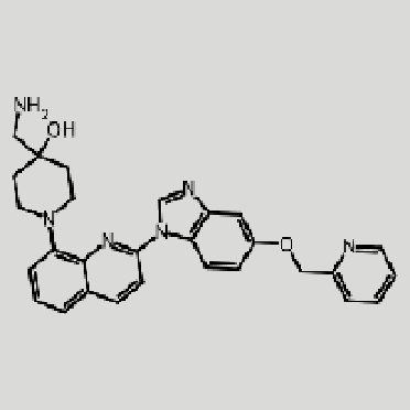 NCC1(O)CCN(c2cccc3ccc(-n4cnc5cc(OCc6ccccn6)ccc54)nc23)CC1